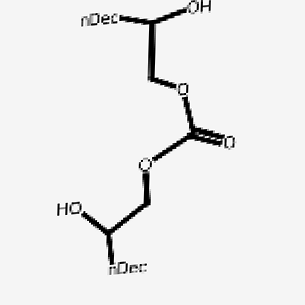 CCCCCCCCCCC(O)COC(=O)OCC(O)CCCCCCCCCC